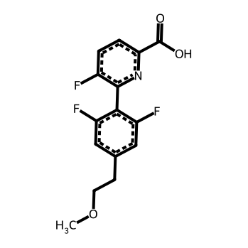 COCCc1cc(F)c(-c2nc(C(=O)O)ccc2F)c(F)c1